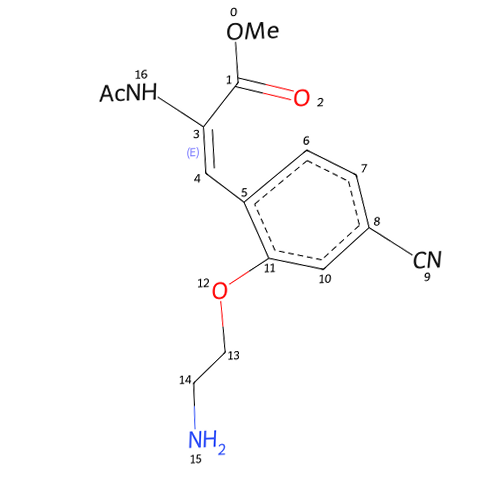 COC(=O)/C(=C\c1ccc(C#N)cc1OCCN)NC(C)=O